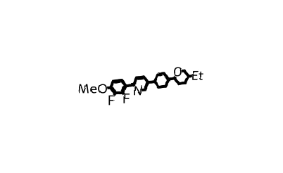 CCC1CCC(C2CCC(c3ccc(-c4ccc(OC)c(F)c4F)nc3)CC2)OC1